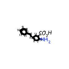 Nc1ccc(/C=C/c2ccccc2)cc1C(=O)O